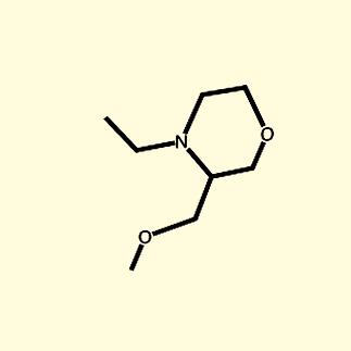 CCN1CCOCC1COC